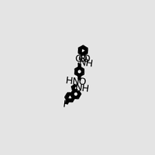 O=C(NC1CC2c3ccc(F)cc3CCC2N1)C1CCC(CNS(=O)(=O)c2ccccc2)CC1